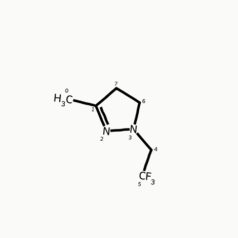 CC1=NN(CC(F)(F)F)CC1